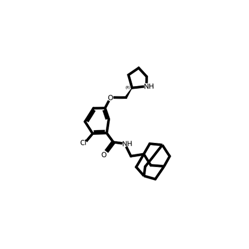 O=C(NCC12CC3CC(CC(C3)C1)C2)c1cc(OC[C@H]2CCCN2)ccc1Cl